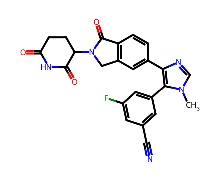 Cn1cnc(-c2ccc3c(c2)CN(C2CCC(=O)NC2=O)C3=O)c1-c1cc(F)cc(C#N)c1